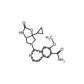 COc1cc2c(N3CC4NC(=O)OC4(C4CC4)C3)nccc2cc1C(N)=O